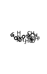 CCC1(CC)CC(P(=O)(O)O)CCN1Cc1ccc(C(=O)Nc2cc(-c3cccs3)ccc2N)cc1